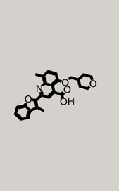 Cc1c(-c2cc(C(=O)O)c3c(OCC4CCOCC4)ccc(C)c3n2)oc2ccccc12